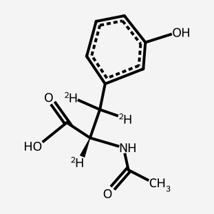 [2H]C([2H])(c1cccc(O)c1)[C@]([2H])(NC(C)=O)C(=O)O